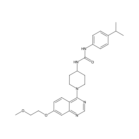 COCCOc1ccc2c(N3CCC(NC(=O)Nc4ccc(C(C)C)cc4)CC3)ncnc2c1